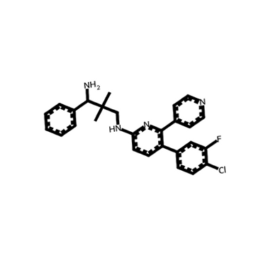 CC(C)(CNc1ccc(-c2ccc(Cl)c(F)c2)c(-c2ccncc2)n1)C(N)c1ccccc1